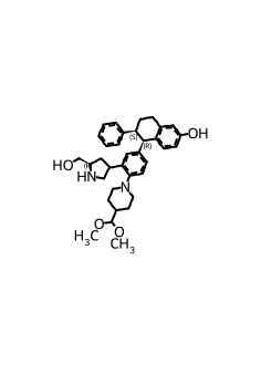 COC(OC)C1CCN(c2ccc([C@@H]3c4ccc(O)cc4CC[C@@H]3c3ccccc3)cc2C2CN[C@@H](CO)C2)CC1